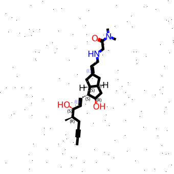 CC#CC[C@@H](C)[C@H](O)/C=C/[C@@H]1[C@H]2C/C(=C/CNCC(=O)N(C)C)C[C@H]2C[C@H]1O